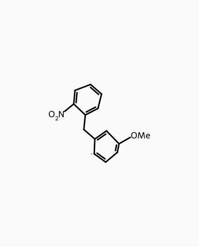 COc1cc[c]c(Cc2ccccc2[N+](=O)[O-])c1